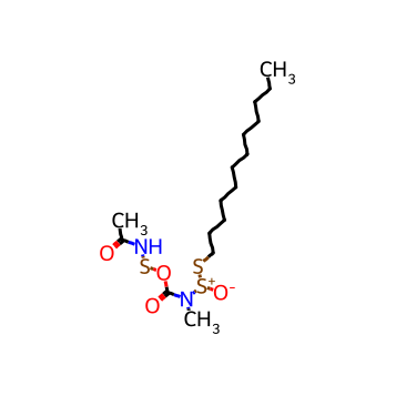 CCCCCCCCCCCCS[S+]([O-])N(C)C(=O)OSNC(C)=O